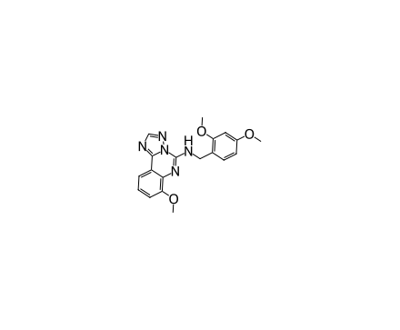 COc1ccc(CNc2nc3c(OC)cccc3c3ncnn23)c(OC)c1